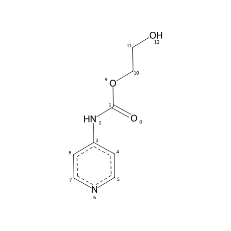 O=C(Nc1ccncc1)OCCO